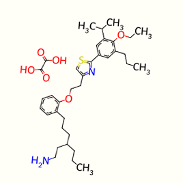 CCCc1cc(-c2nc(CCOc3ccccc3CCCC(CCC)CCN)cs2)cc(C(C)C)c1OCC.O=C(O)C(=O)O